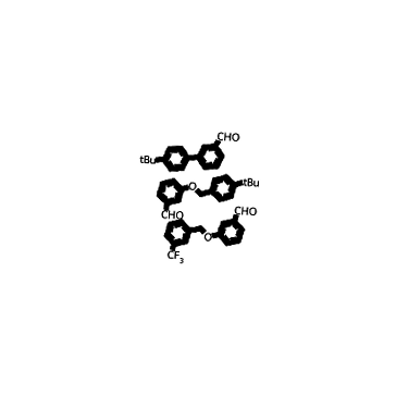 CC(C)(C)c1ccc(-c2cccc(C=O)c2)cc1.CC(C)(C)c1ccc(COc2cccc(C=O)c2)cc1.O=Cc1cccc(OCc2cccc(C(F)(F)F)c2)c1